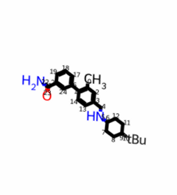 Cc1cc(CNC2CCC(C(C)(C)C)CC2)ccc1-c1cccc(C(N)=O)c1